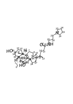 CC[C@H]1[C@@H](O)[C@@H]2[C@H](CC[C@]3(C)[C@@H]([C@H](C)CCC(=O)NCCCN4CCCC4)CC[C@@H]23)[C@@]2(C)CC[C@@H](O)C[C@@H]12